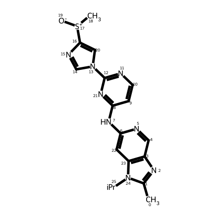 Cc1nc2cnc(Nc3ccnc(-n4cnc([S+](C)[O-])c4)n3)cc2n1C(C)C